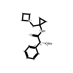 CO[C@@H](C(=O)NC1(CN2CCC2)CC1)c1ccccc1